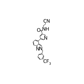 N#CCCNC(=O)c1cncc(-c2cccc3nn(Cc4cccc(C(F)(F)F)c4)cc23)c1